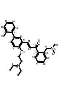 CCN(CC)CCOc1ccc(-c2ccccc2C)cc1C=CC(=O)c1ccccc1CN(C)C